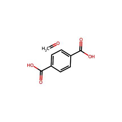 C=O.O=C(O)c1ccc(C(=O)O)cc1